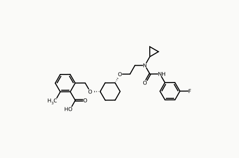 Cc1cccc(CO[C@H]2CCC[C@@H](OCCN(C(=O)Nc3cccc(F)c3)C3CC3)C2)c1C(=O)O